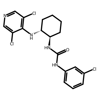 O=C(Nc1cccc(Cl)c1)N[C@@H]1CCCC[C@H]1Nc1c(Cl)cncc1Cl